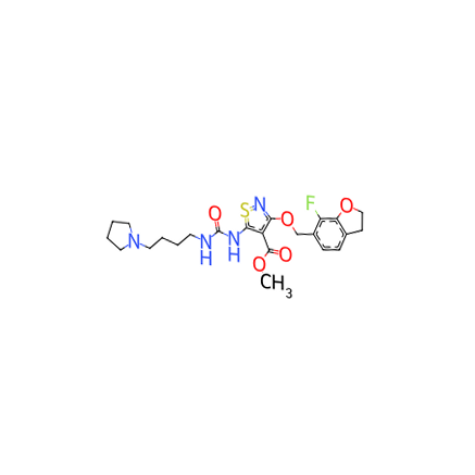 COC(=O)c1c(OCc2ccc3c(c2F)OCC3)nsc1NC(=O)NCCCCN1CCCC1